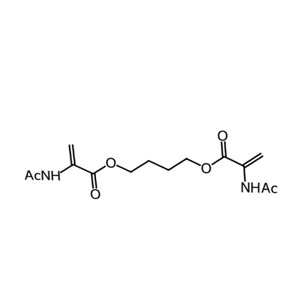 C=C(NC(C)=O)C(=O)OCCCCOC(=O)C(=C)NC(C)=O